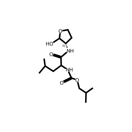 CC(C)COC(=O)NC(CC(C)C)C(=O)N[C@H]1CCOC1O